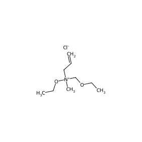 C=CC[N+](C)(COCC)OCC.[Cl-]